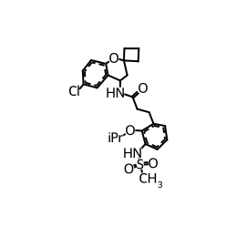 CC(C)Oc1c(CCC(=O)NC2CC3(CCC3)Oc3ccc(Cl)cc32)cccc1NS(C)(=O)=O